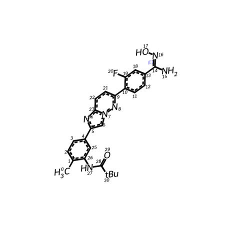 Cc1ccc(-c2cn3nc(-c4ccc(/C(N)=N\O)cc4F)ccc3n2)cc1NC(=O)C(C)(C)C